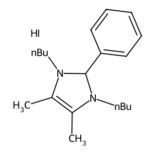 CCCCN1C(C)=C(C)N(CCCC)C1c1ccccc1.I